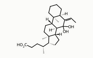 CC=C1[C@@H]2CCCC[C@]2(C)[C@H]2CC[C@]3(C)[C@@H]([C@H](C)CCC(=O)O)CC[C@H]3[C@@H]2C1(O)O